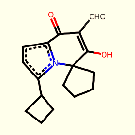 O=CC1=C(O)C2(CCCC2)n2c(ccc2C2CCC2)C1=O